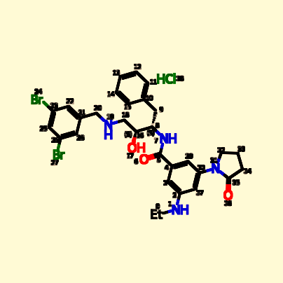 CCNc1cc(C(=O)N[C@@H](Cc2ccccc2)[C@@H](O)CNCc2cc(Br)cc(Br)c2)cc(N2CCCC2=O)c1.Cl